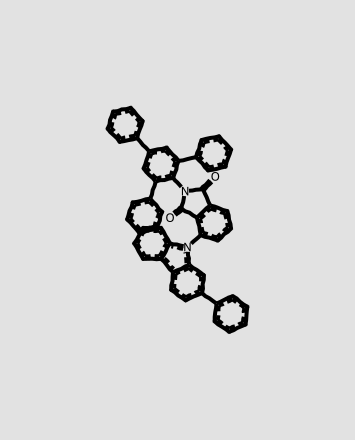 O=C1c2cccc(-n3c4ccccc4c4ccc(-c5ccccc5)cc43)c2C(=O)N1c1c(-c2ccccc2)cc(-c2ccccc2)cc1-c1ccccc1